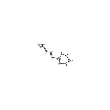 C=C/C=C/N1CCOCC1